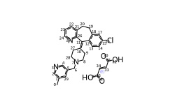 Cc1cncc(CN2CCC(=C3c4ccc(Cl)cc4CCc4cccnc43)CC2)c1.O=C(O)/C=C/C(=O)O